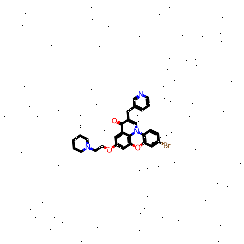 O=c1c(Cc2cccnc2)cn2c3c(cc(OCCN4CCCCC4)cc13)Oc1cc(Br)ccc1-2